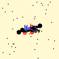 CCCN1C(=O)[C@H](CCCNC(=O)c2cccc(-c3ccccc3)c2)NC(=O)C12CCN(CCc1ccccc1)CC2